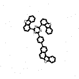 c1ccc2c(c1)oc1cccc(-c3nc(-c4ccc(-c5ccc6c(ccc7oc8ccccc8c76)c5)cc4)nc(-c4cccc5sc6ccccc6c45)n3)c12